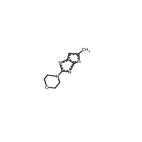 Cc1cc2sc(N3CCOCC3)nc2s1